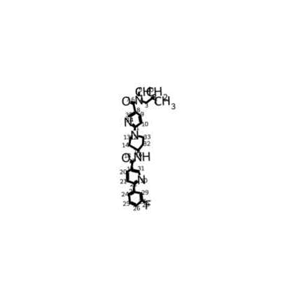 C=C(C)CN(C)C(=O)c1ccc(N2CCC(NC(=O)c3ccc(-c4cccc(F)c4)nc3)CC2)nc1